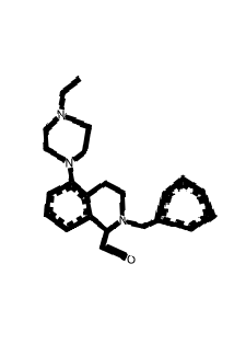 CCN1CCN(c2cccc3c2CCN(Cc2ccccc2)C3C=O)CC1